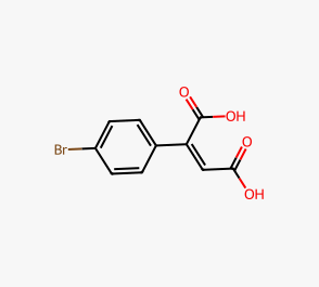 O=C(O)C=C(C(=O)O)c1ccc(Br)cc1